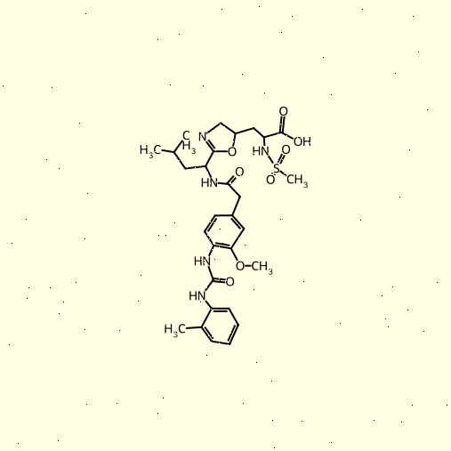 COc1cc(CC(=O)NC(CC(C)C)C2=NCC(CC(NS(C)(=O)=O)C(=O)O)O2)ccc1NC(=O)Nc1ccccc1C